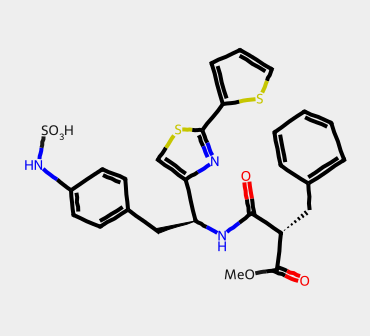 COC(=O)[C@@H](Cc1ccccc1)C(=O)N[C@@H](Cc1ccc(NS(=O)(=O)O)cc1)c1csc(-c2cccs2)n1